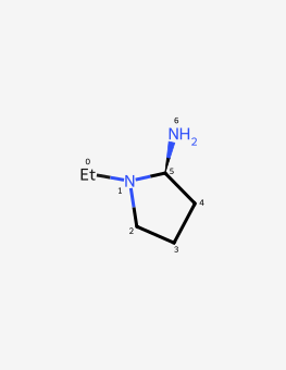 CCN1CCC[C@@H]1N